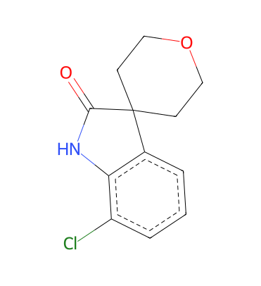 O=C1Nc2c(Cl)cccc2C12CCOCC2